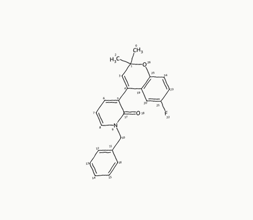 CC1(C)C=C(c2cccn(Cc3ccccc3)c2=O)c2cc(F)ccc2O1